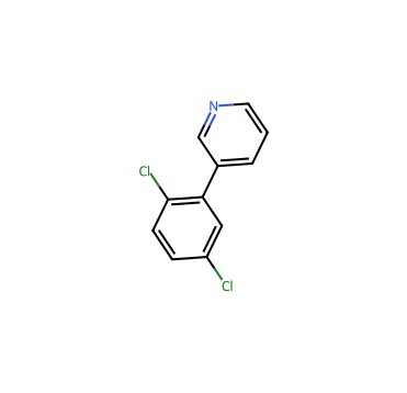 Clc1ccc(Cl)c(-c2cccnc2)c1